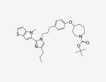 CCCc1cn(CCCc2ccc(OC3CCCN(C(=O)OC(C)(C)C)CC3)cc2)c(-c2cc3sccc3n2C)n1